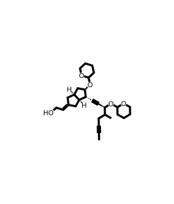 CC#CCC(C)[C@@H](C#C[C@@H]1[C@H]2CC(=CCO)C[C@H]2C[C@H]1OC1CCCCO1)OC1CCCCO1